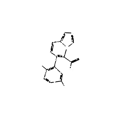 CNC(=O)c1c(-c2cc(N)ccc2F)ccc2cncn12